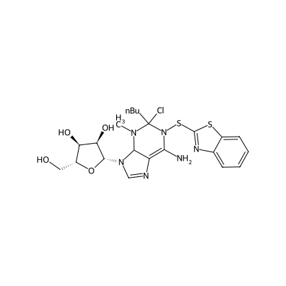 CCCCC1(Cl)N(Sc2nc3ccccc3s2)C(N)=C2N=CN([C@@H]3O[C@H](CO)[C@@H](O)[C@H]3O)C2N1C